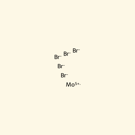 [Br-].[Br-].[Br-].[Br-].[Br-].[Mo+5]